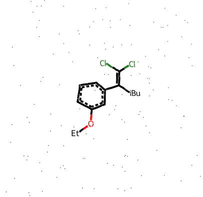 CCOc1cccc(C(=C(Cl)Cl)C(C)CC)c1